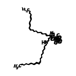 CCCCCCCC/C=C\CCCCCCCCNCC[N+]1(C)CCN=C1CCCCCCCC/C=C\CCCCCCCC.COS(=O)(=O)[O-]